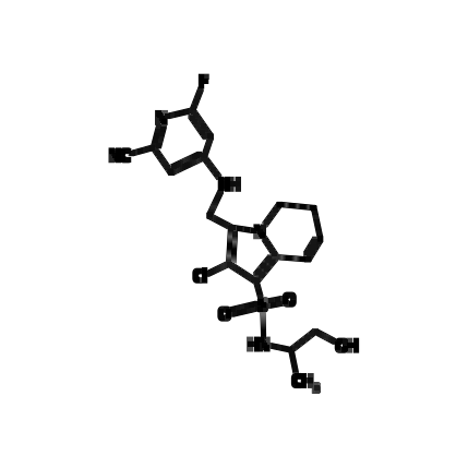 CC(CO)NS(=O)(=O)c1c(Cl)c(CNc2cc(F)nc(C#N)c2)n2c1C=CCC2